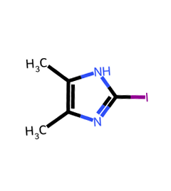 Cc1nc(I)[nH]c1C